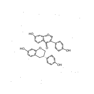 O=c1c(-c2ccc(O)cc2)coc2cc(O)ccc12.Oc1ccc([C@H]2COc3cc(O)ccc3C2)cc1